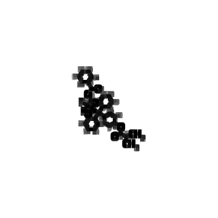 C=C(C)C(=O)Oc1ccc(C(c2ccccc2)(c2ccccc2)S(=O)(=O)C(F)(F)COC(=O)c2ccccc2)cc1